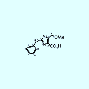 COCc1sc(Oc2ccccc2)nc1C(=O)O